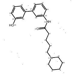 O=C(CCCCN1CCCCC1)Nc1cccc(-c2cccc(O)c2)c1